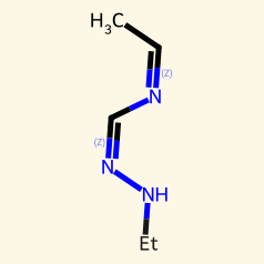 C/C=N\C=N/NCC